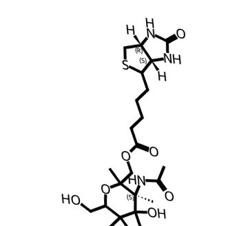 CC(=O)N[C@]1(C)C(C)(COC(=O)CCCCC2SC[C@@H]3NC(=O)N[C@H]23)OC(CO)C(C)(O)C1(C)O